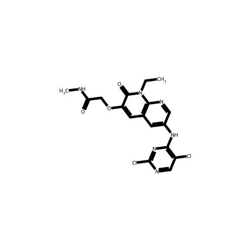 CCn1c(=O)c(OCC(=O)NC)cc2cc(Nc3nc(Cl)ncc3Cl)cnc21